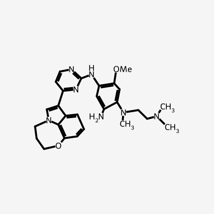 COc1cc(N(C)CCN(C)C)c(N)cc1Nc1nccc(-c2cn3c4c(cccc24)OCCC3)n1